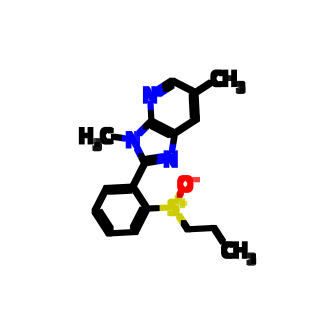 CCC[S+]([O-])c1ccccc1-c1nc2cc(C)cnc2n1C